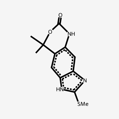 CSc1nc2cc3c(cc2[nH]1)C(C)(C)OC(=O)N3